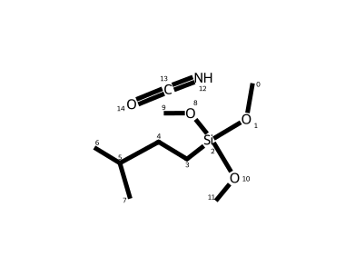 CO[Si](CCC(C)C)(OC)OC.N=C=O